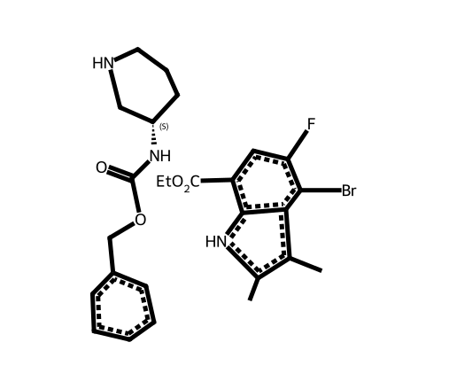 CCOC(=O)c1cc(F)c(Br)c2c(C)c(C)[nH]c12.O=C(N[C@H]1CCCNC1)OCc1ccccc1